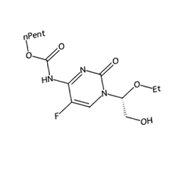 CCCCCOC(=O)Nc1nc(=O)n([C@@H](CO)OCC)cc1F